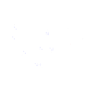 Nc1nc2nncc-2c2nc(-c3ccco3)[nH]n12